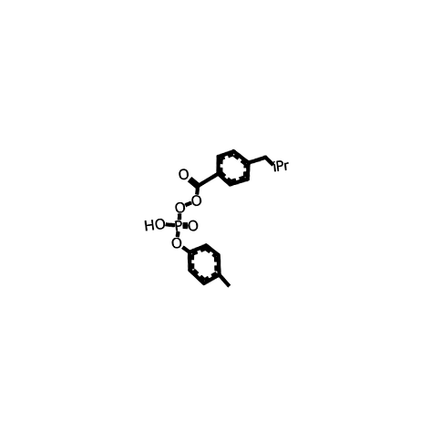 Cc1ccc(OP(=O)(O)OOC(=O)c2ccc(CC(C)C)cc2)cc1